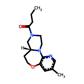 CCCC(=O)N1CCN2c3ncc(C)cc3OCC[C@@H]2C1